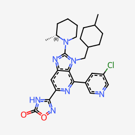 CC1CCC(Cn2c(N3CCCC[C@H]3C)nc3cc(-c4noc(=O)[nH]4)nc(-c4cncc(Cl)c4)c32)CC1